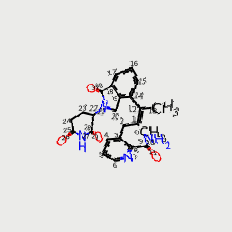 CC(Cc1cccnc1C(N)=O)=C(C)c1cccc2c1CN(C1CCC(=O)NC1=O)C2=O